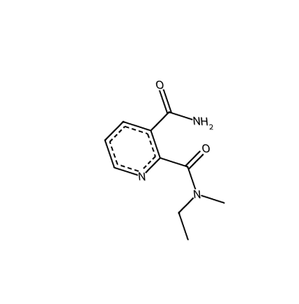 CCN(C)C(=O)c1ncccc1C(N)=O